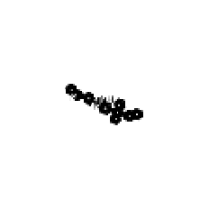 N=C1C=C(c2c3ccccc3c(-c3ccc4ccccc4c3)c3ccccc23)C=C/C1=N/NC1=CC=C(c2cnc3ccccc3c2)CC1